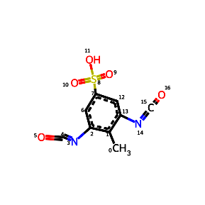 Cc1c(N=C=O)cc(S(=O)(=O)O)cc1N=C=O